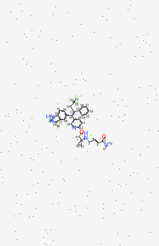 CN(C)C(=O)C=CCNC1(COc2ccc(/C(=C(/CC(F)(F)F)c3ccccc3)c3ccc4[nH]nc(F)c4c3)cn2)CC1